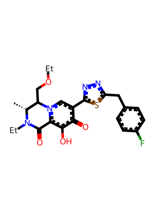 CCOCC1[C@@H](C)N(CC)C(=O)c2c(O)c(=O)c(-c3nnc(Cc4ccc(F)cc4)s3)cn21